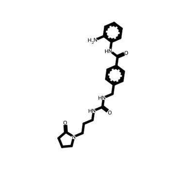 Nc1ccccc1NC(=O)c1ccc(CNC(=O)NCCCN2CCCC2=O)cc1